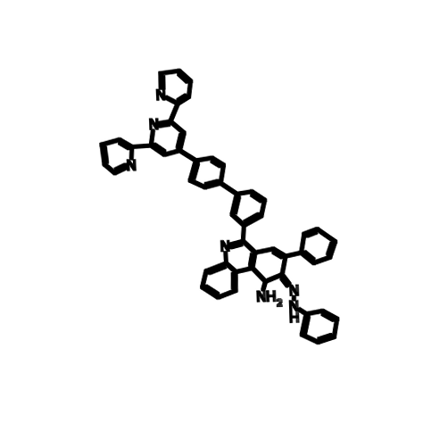 NC1/C(=N\Nc2ccccc2)C(c2ccccc2)=Cc2c(-c3cccc(-c4ccc(-c5cc(-c6ccccn6)nc(-c6ccccn6)c5)cc4)c3)nc3ccccc3c21